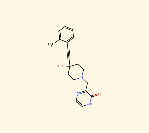 Cc1ccccc1C#CC1(O)CCN(Cc2ncc[nH]c2=O)CC1